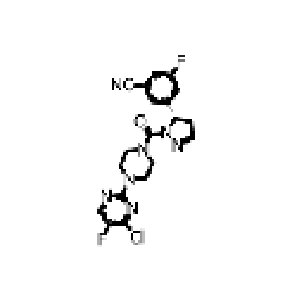 N#Cc1cc(F)cc([C@@H]2CC=NN2C(=O)N2CCN(c3ncc(F)c(Cl)n3)CC2)c1